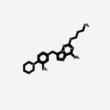 CCCCOc1nc(N)c2ncc(Cc3ccc(N4CCCCC4)c(C)c3)n2n1